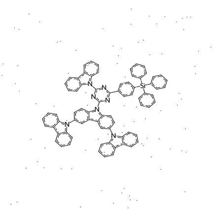 c1ccc([Si](c2ccccc2)(c2ccccc2)c2ccc(-c3nc(-n4c5ccccc5c5ccccc54)nc(-n4c5ccc(-n6c7ccccc7c7ccccc76)cc5c5cc(-n6c7ccccc7c7ccccc76)ccc54)n3)cc2)cc1